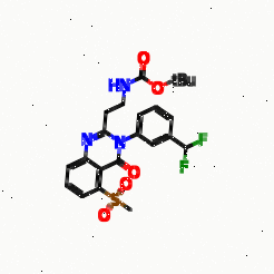 CC(C)(C)OC(=O)NCCc1nc2cccc(S(C)(=O)=O)c2c(=O)n1-c1cccc(C(F)F)c1